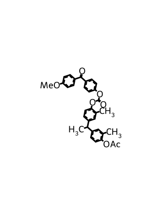 COc1ccc(C(=O)c2ccc(OC(=O)Oc3ccc(C(C)c4ccc(OC(C)=O)c(C)c4)cc3C)cc2)cc1